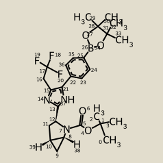 CC(C)(C)OC(=O)N1[C@@H]2C[C@@H]2C[C@H]1c1nc(CC(F)(F)F)c(-c2ccc(B3OC(C)(C)C(C)(C)O3)cc2)[nH]1